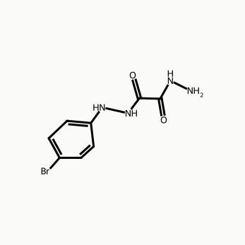 NNC(=O)C(=O)NNc1ccc(Br)cc1